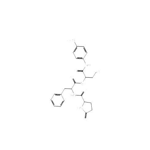 CC(C)CC(NC(=O)C(Cc1ccccc1)NC(=O)C1CCC(=O)N1)C(=O)Nc1ccc([N+](=O)[O-])cc1